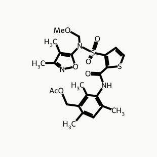 COCN(c1onc(C)c1C)S(=O)(=O)c1ccsc1C(=O)Nc1c(C)cc(C)c(COC(C)=O)c1C